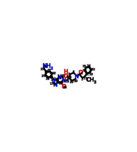 C[C@H](CC(=O)N1CCC(O)(Cn2cnc3c(ncn3-c3ccc(CN)cc3)c2=O)CC1)c1ccccc1